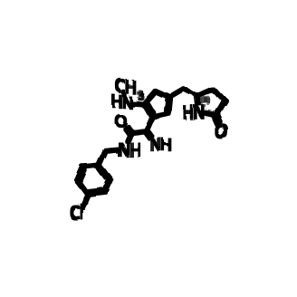 CNC1=C(C(=N)C(=O)NCc2ccc(Cl)cc2)C=C(C[C@H]2CCC(=O)N2)C1